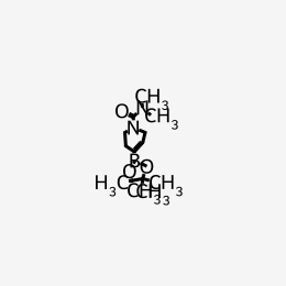 CN(C)C(=O)N1CC=C(B2OC(C)(C)C(C)(C)O2)CC1